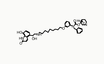 O=C(O[C@H]1CN2CCC1CC2)N(Cc1ccccc1)c1cccc(OCCCCCCCCCNC[C@H](O)c2ccc(O)c3[nH]c(=O)ccc23)c1